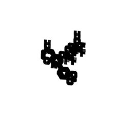 O=C(O)C(F)(F)F.O=C(O)C(F)(F)F.c1cc2c(cc1-c1ccc3c(n1)OCCNC3)OCO2